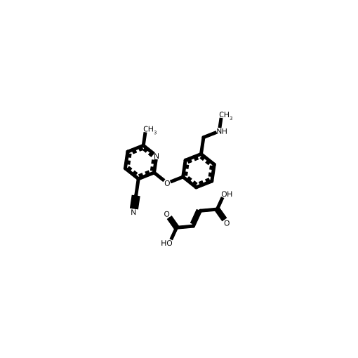 CNCc1cccc(Oc2nc(C)ccc2C#N)c1.O=C(O)C=CC(=O)O